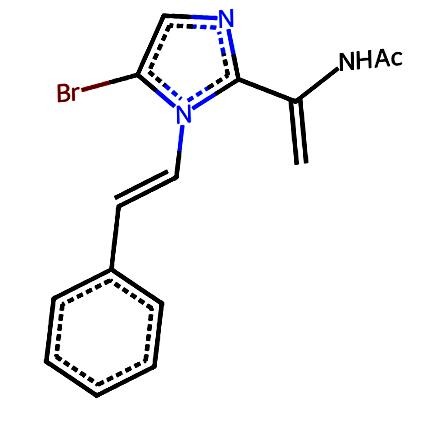 C=C(NC(C)=O)c1ncc(Br)n1/C=C/c1ccccc1